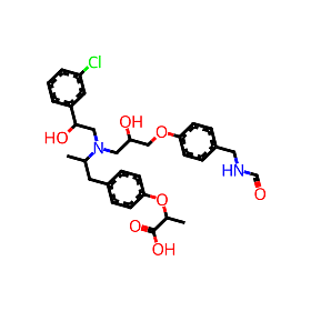 CC(Oc1ccc(CC(C)N(CC(O)COc2ccc(CNC=O)cc2)CC(O)c2cccc(Cl)c2)cc1)C(=O)O